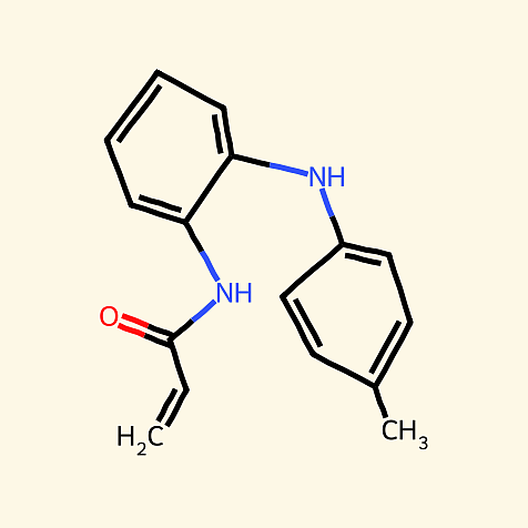 C=CC(=O)Nc1ccccc1Nc1ccc(C)cc1